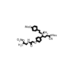 CCCCCCC(C#N)CCC(c1ccc(OCC(=O)NCC(C)O[N+](=O)[O-])cc1)N(C)CCc1ccc(OC)cc1